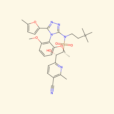 COc1cccc(OC)c1-n1c(-c2ccc(C)o2)nnc1N(CC[Si](C)(C)C)S(=O)(=O)[C@H](C)[C@@H](O)c1ccc(C#N)c(C)n1